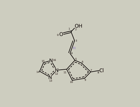 O=C(O)/C=C/c1cc(Cl)ccc1-n1nccn1